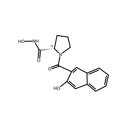 O=C(NO)[C@@H]1CCCN1C(=O)c1cc2ccccc2cc1O